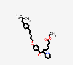 CCOC(=O)CCCc1cc(C(=O)c2ccc(OCCCC=Cc3ccc(CC(C)C)cc3)cc2)c2ccccn12